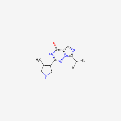 CCC(CC)c1ncc2c(=O)[nH]c(C3CNCC3C)nn12